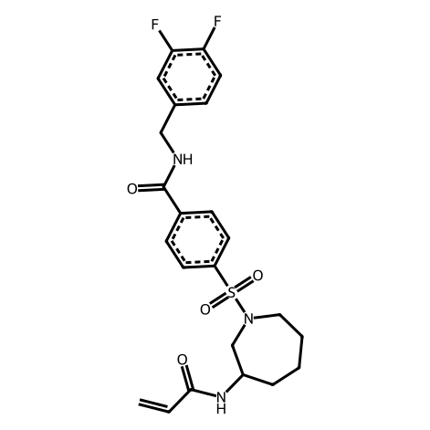 C=CC(=O)NC1CCCCN(S(=O)(=O)c2ccc(C(=O)NCc3ccc(F)c(F)c3)cc2)C1